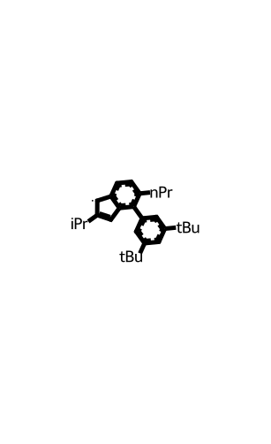 CCCc1ccc2c(c1-c1cc(C(C)(C)C)cc(C(C)(C)C)c1)C=C(C(C)C)[CH]2